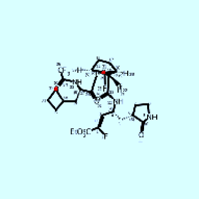 CCOC(=O)/C(F)=C/[C@@H](C[C@@H]1CCNC1=O)NC(=O)[C@H]1[C@@H]2CC[C@@H](CC2(F)F)N1C(=O)[C@@H](CC1CCC1)NC(=O)C(F)(F)F